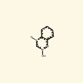 [O-][n+]1c[n+](O)nc2ccccc21